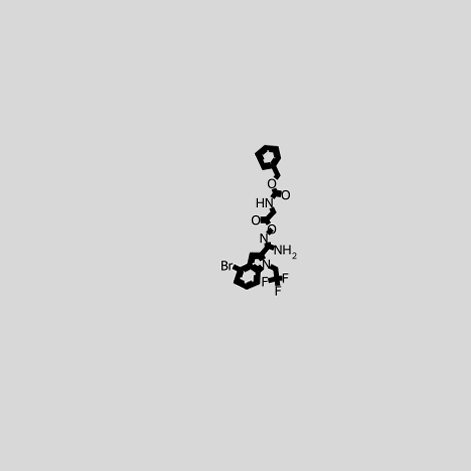 NC(=NOC(=O)CNC(=O)OCc1ccccc1)c1cc2c(Br)cccc2n1CC(F)(F)F